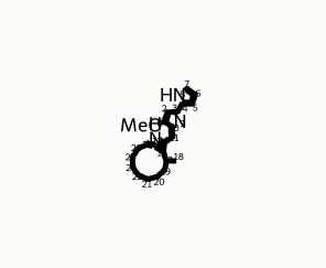 COC1=CC(c2ccc[nH]2)=NC1=Cc1[nH]c2cc1C(C)CCCCCCC2